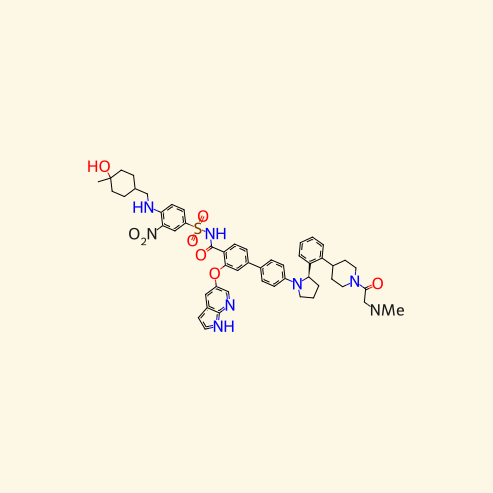 CNCC(=O)N1CCC(c2ccccc2[C@H]2CCCN2c2ccc(-c3ccc(C(=O)NS(=O)(=O)c4ccc(NCC5CCC(C)(O)CC5)c([N+](=O)[O-])c4)c(Oc4cnc5[nH]ccc5c4)c3)cc2)CC1